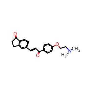 CN(C)CCOc1ccc(C(=O)/C=C/c2ccc3c(c2)CCC3=O)cc1